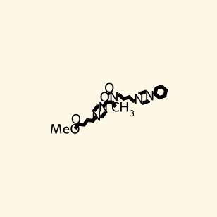 COC(=O)CCCN1CCN(C2OC(=O)N(CCCCN3CCN(C4CCCCC4)CC3)C2C)CC1